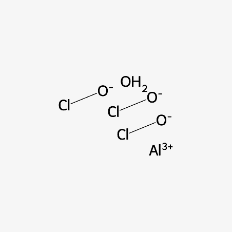 O.[Al+3].[O-]Cl.[O-]Cl.[O-]Cl